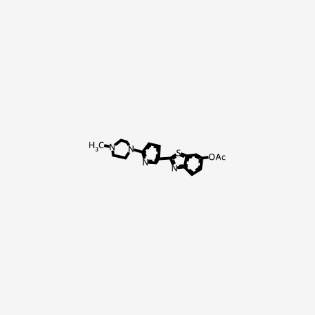 CC(=O)Oc1ccc2nc(-c3ccc(N4CCN(C)CC4)nc3)sc2c1